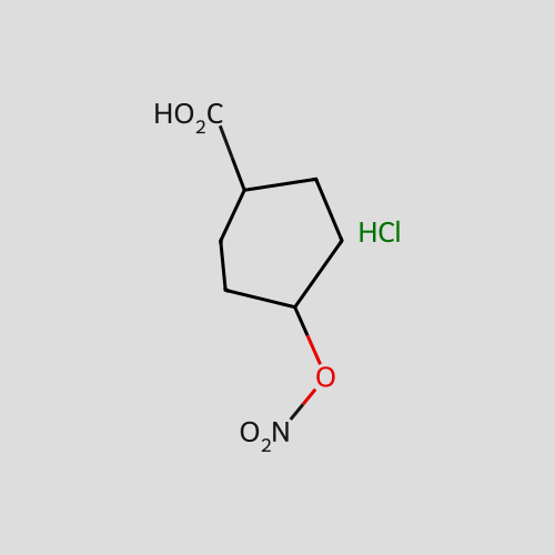 Cl.O=C(O)C1CCC(O[N+](=O)[O-])CC1